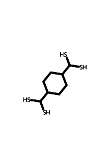 SC(S)C1CCC(C(S)S)CC1